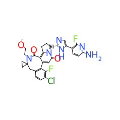 COCCN1C(=O)c2c(cc(=O)n3c2CC[C@@H]3c2ncc(-c3ccc(N)nc3F)[nH]2)-c2c(ccc(Cl)c2F)CC12CC2